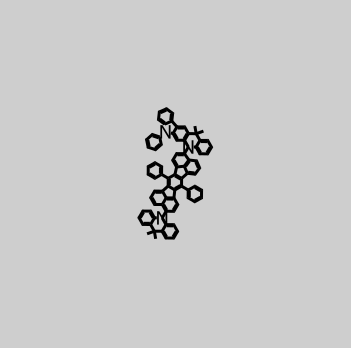 CC1(C)c2ccccc2N(c2ccc3c4c(-c5ccccc5)c5c6cccc7c(N8c9ccccc9C(C)(C)c9cc%10c%11ccccc%11n(-c%11ccccc%11)c%10cc98)ccc(c5c(-c5ccccc5)c4c4cccc2c34)c76)c2ccccc21